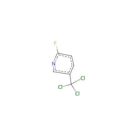 Fc1ccc(C(Cl)(Cl)Cl)cn1